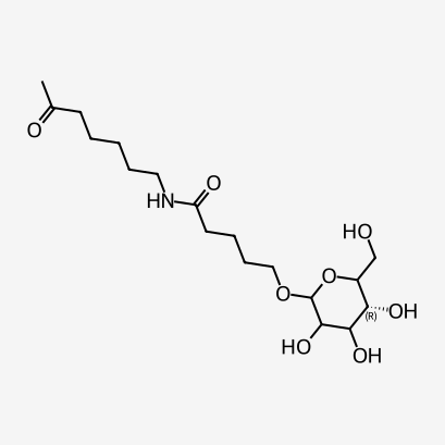 CC(=O)CCCCCNC(=O)CCCCOC1OC(CO)[C@H](O)C(O)C1O